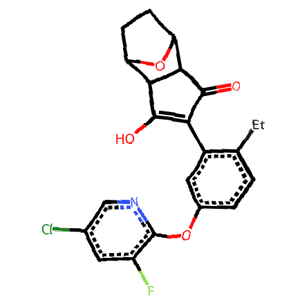 CCc1ccc(Oc2ncc(Cl)cc2F)cc1C1=C(O)C2C3CCC(O3)C2C1=O